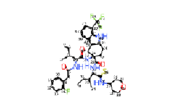 CCC(C)[C@H](NC(=O)Cc1ccccc1F)C(=O)N[C@]1(C(=O)N[C@H](C(=S)NC2CCOCC2)C(C)CC)CCc2[nH]c3c(C(F)(F)F)cccc3c2C1